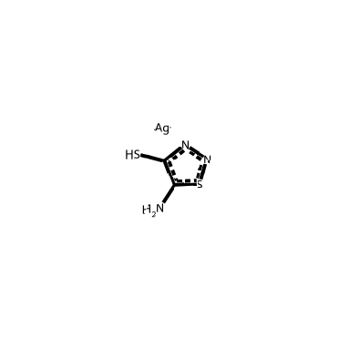 Nc1snnc1S.[Ag]